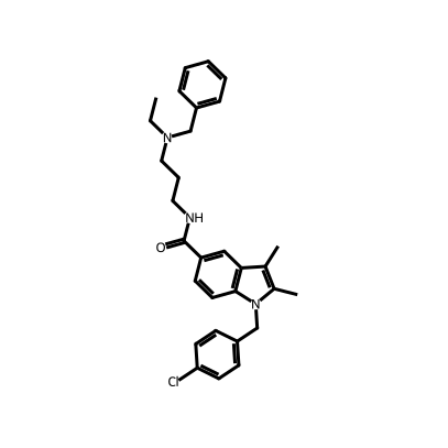 CCN(CCCNC(=O)c1ccc2c(c1)c(C)c(C)n2Cc1ccc(Cl)cc1)Cc1ccccc1